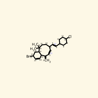 C=C1/C=C\C(/C=C/C2CCC(Cl)CC2)CCC(C)(C)C2CC(Br)C=CC12